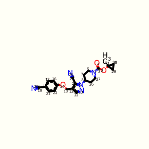 CC1(OC(=O)N2CCC(n3ncc(COc4ccc(C#N)cc4)c3C#N)CC2)CC1